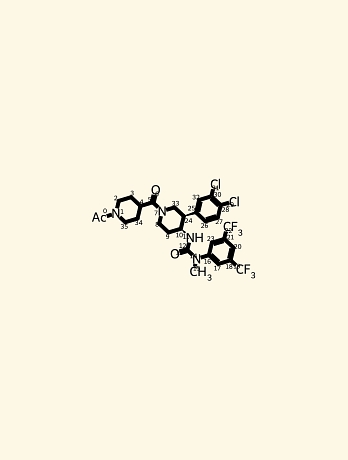 CC(=O)N1CCC(C(=O)N2CC[C@@H](NC(=O)N(C)c3cc(C(F)(F)F)cc(C(F)(F)F)c3)[C@H](c3ccc(Cl)c(Cl)c3)C2)CC1